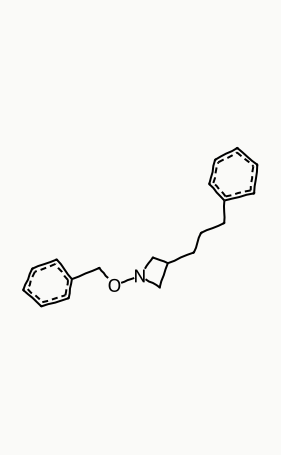 c1ccc(CCCC2CN(OCc3ccccc3)C2)cc1